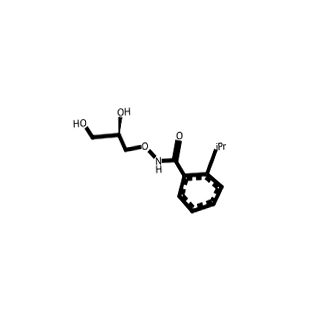 CC(C)c1ccccc1C(=O)NOC[C@H](O)CO